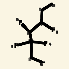 [CH2]CC(F)(F)[C@@H](F)C(F)CC